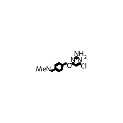 CNCc1ccc(COc2cc(Cl)nc(N)n2)cc1